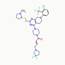 CN1CCC[C@H]1COc1nc2c(c(N3CCN(C(=O)/C=C/CN4CCC(F)(F)C4)CC3)n1)CCN(c1cccc(Cl)c1C(F)(F)F)C2